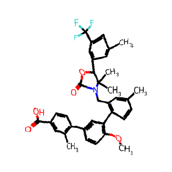 COc1ccc(-c2ccc(C(=O)O)cc2C)cc1-c1ccc(C)cc1CN1C(=O)OC(c2cc(C)cc(C(F)(F)F)c2)C1(C)C